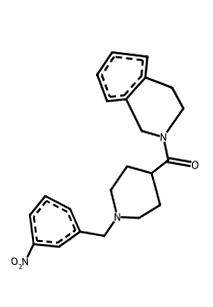 O=C(C1CCN(Cc2cccc([N+](=O)[O-])c2)CC1)N1CCc2ccccc2C1